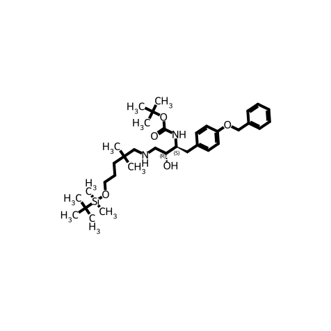 CC(C)(CCCO[Si](C)(C)C(C)(C)C)CNC[C@@H](O)[C@H](Cc1ccc(OCc2ccccc2)cc1)NC(=O)OC(C)(C)C